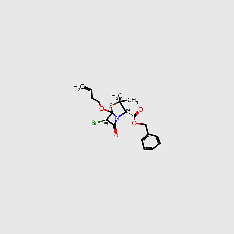 C=CCCOC12SC(C)(C)[C@H](C(=O)OCc3ccccc3)N1C(=O)[C@H]2Br